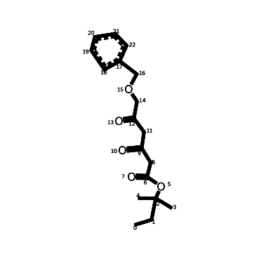 CCC(C)(C)OC(=O)CC(=O)CC(=O)COCc1ccccc1